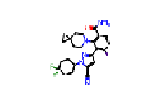 N#Cc1cc(-c2c(I)ccc(C(N)=O)c2N2CCC3(CC2)CC3)nn1C1CCC(F)(F)CC1